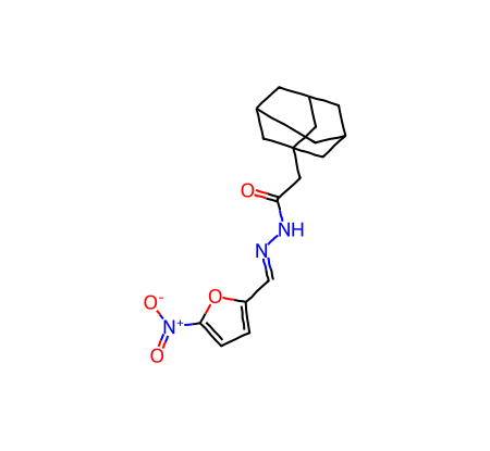 O=C(CC12CC3CC(CC(C3)C1)C2)NN=Cc1ccc([N+](=O)[O-])o1